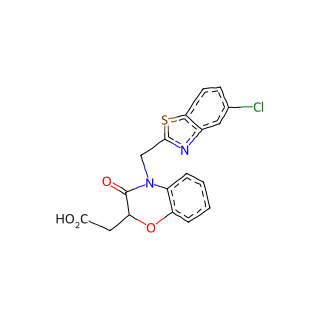 O=C(O)CC1Oc2ccccc2N(Cc2nc3cc(Cl)ccc3s2)C1=O